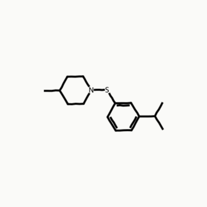 CC1CCN(Sc2cccc(C(C)C)c2)CC1